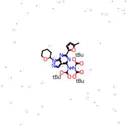 Cc1ccc(-c2nc(N(C(=O)OC(C)(C)C)N(C(=O)OC(C)(C)C)C(=O)OC(C)(C)C)c3cnn(C4CCCCO4)c3n2)o1